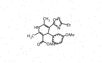 CCc1noc(C2=C(C)NC(C)=C(C(=O)OC)C2c2cccc(OC)c2)n1